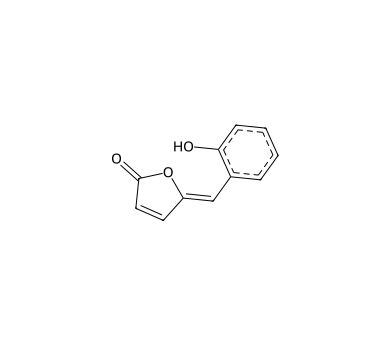 O=C1C=CC(=Cc2ccccc2O)O1